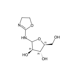 OC[C@@H]1OC(NC2=NCCO2)[C@H](O)[C@H]1O